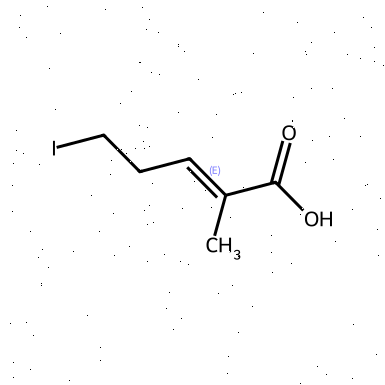 C/C(=C\CCI)C(=O)O